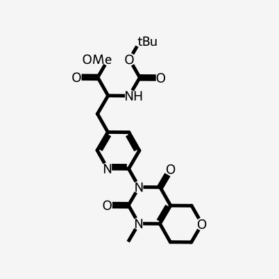 COC(=O)C(Cc1ccc(-n2c(=O)c3c(n(C)c2=O)CCOC3)nc1)NC(=O)OC(C)(C)C